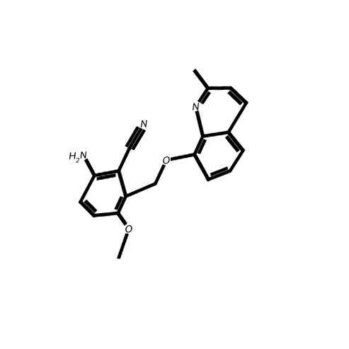 COc1ccc(N)c(C#N)c1COc1cccc2ccc(C)nc12